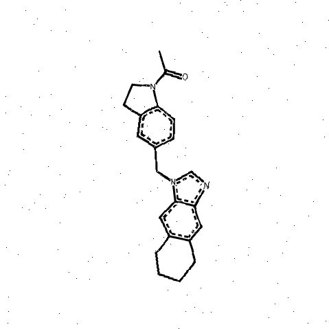 CC(=O)N1CCc2cc(Cn3cnc4cc5c(cc43)CCCC5)ccc21